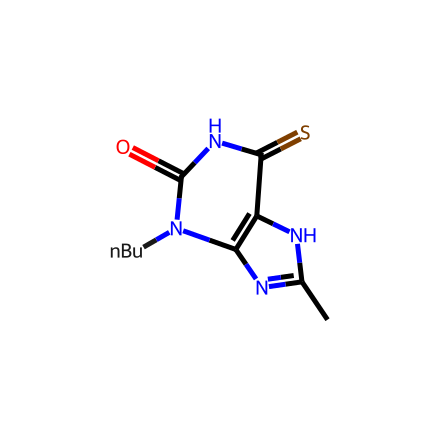 CCCCn1c(=O)[nH]c(=S)c2[nH]c(C)nc21